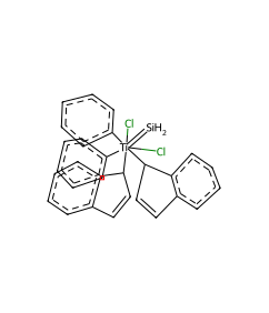 [SiH2]=[Ti]([Cl])([Cl])([c]1ccccc1)([c]1ccccc1)([CH]1C=Cc2ccccc21)[CH]1C=Cc2ccccc21